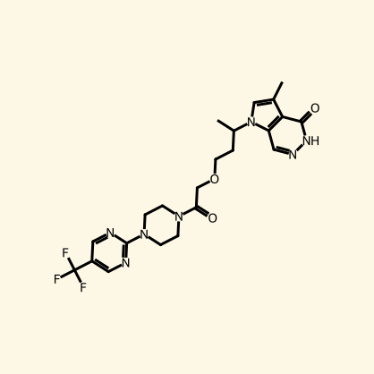 Cc1cn(C(C)CCOCC(=O)N2CCN(c3ncc(C(F)(F)F)cn3)CC2)c2cn[nH]c(=O)c12